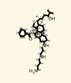 CC(C)C(O)CC[C@@H](C)[C@H]1CC[C@H]2[C@@H]3C(OC(=O)c4ccccc4)CC4CC(NCCCNCCCCN)CC[C@]4(C)[C@H]3CC[C@]12C